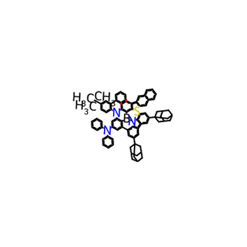 CC(C)(C)c1ccc(N2c3cc(N(c4ccccc4)c4ccccc4)cc4c3B(c3c2ccc2c3sc3cc5ccccc5cc32)n2c3ccc(C56CC7CC(CC(C7)C5)C6)cc3c3cc(C56CC7CC(CC(C7)C5)C6)cc-4c32)c(-c2ccccc2)c1